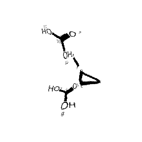 C1CC1.CC.O=C(O)O.O=C(O)O